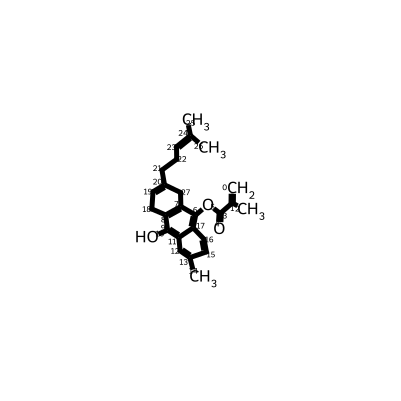 C=C(C)C(=O)Oc1c2c(c(O)c3cc(C)ccc13)CC=C(CCC=C(C)C)C2